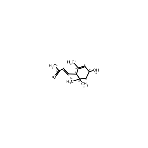 CC(=O)C=CC1C(C)=CC(O)CC1(C)C